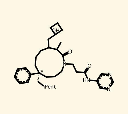 CCCC(C)C[C@]1(c2ccccc2)CCCC(CC2(O)CCC2)C(C)C(=O)N(CCC(=O)Nc2cncnc2)CCC1